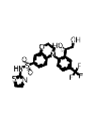 O=S(=O)(Nc1nccs1)c1ccc2c(c1)OCCN2c1ccc(C(F)(F)F)cc1[C@@H](O)CO